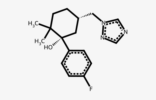 CC1(C)CC[C@H](Cn2cncn2)C[C@@]1(O)c1ccc(F)cc1